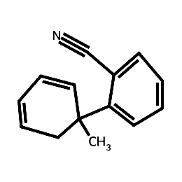 CC1(c2ccccc2C#N)C=CC=CC1